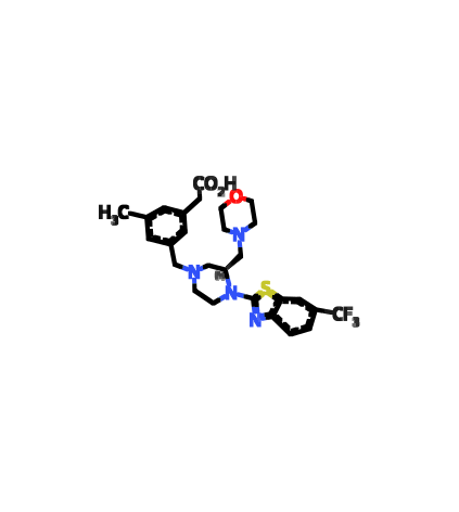 Cc1cc(CC(=O)O)cc(CN2CCN(c3nc4ccc(C(F)(F)F)cc4s3)[C@H](CN3CCOCC3)C2)c1